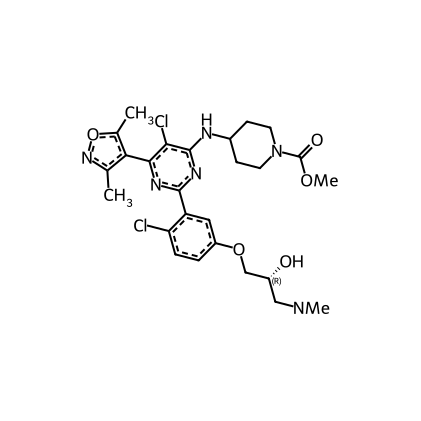 CNC[C@@H](O)COc1ccc(Cl)c(-c2nc(NC3CCN(C(=O)OC)CC3)c(Cl)c(-c3c(C)noc3C)n2)c1